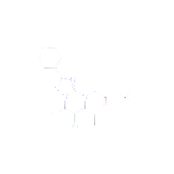 CCc1c(Br)c(=O)n2nc(C3=CCOCC3)nc2n1CC(=O)OC(C)(C)C